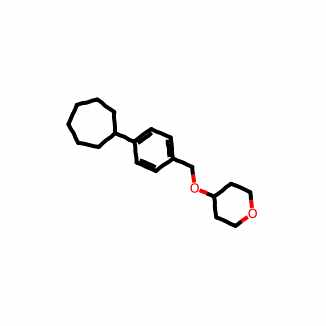 c1cc(C2CCCCCC2)ccc1COC1CCOCC1